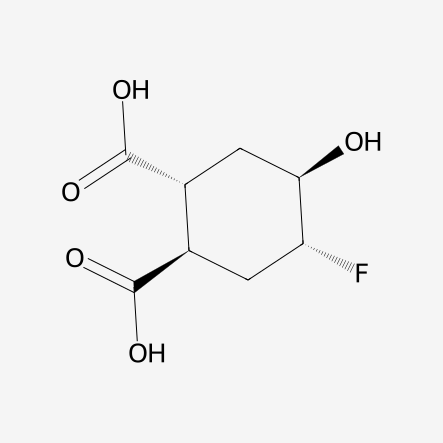 O=C(O)[C@@H]1C[C@@H](O)[C@H](F)C[C@H]1C(=O)O